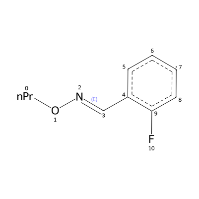 CCCO/N=C/c1cc[c]cc1F